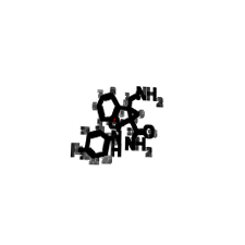 NCC1(c2ccccc2)CC1(C(N)=O)C(=O)Nc1ccc(F)cc1